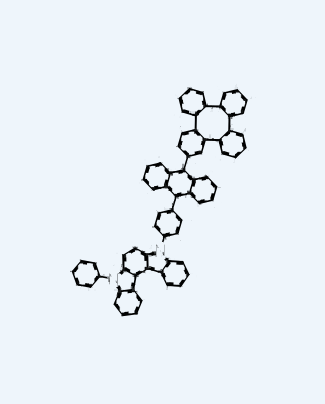 c1ccc(-n2c3ccccc3c3c4c5ccccc5n(-c5ccc(-c6c7ccccc7c(-c7ccc8c(c7)-c7ccccc7-c7ccccc7-c7ccccc7-8)c7ccccc67)cc5)c4ccc32)cc1